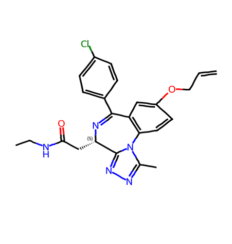 C=CCOc1ccc2c(c1)C(c1ccc(Cl)cc1)=N[C@@H](CC(=O)NCC)c1nnc(C)n1-2